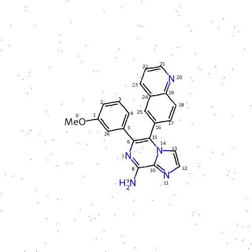 COc1cccc(-c2nc(N)c3nccn3c2-c2ccc3ncccc3c2)c1